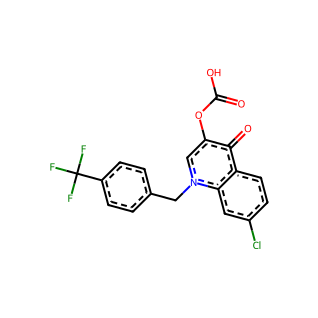 O=C(O)Oc1cn(Cc2ccc(C(F)(F)F)cc2)c2cc(Cl)ccc2c1=O